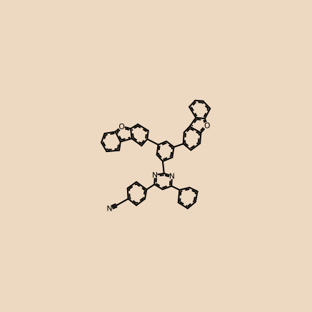 N#Cc1ccc(-c2cc(-c3ccccc3)nc(-c3cc(-c4ccc5oc6ccccc6c5c4)cc(-c4ccc5oc6ccccc6c5c4)c3)n2)cc1